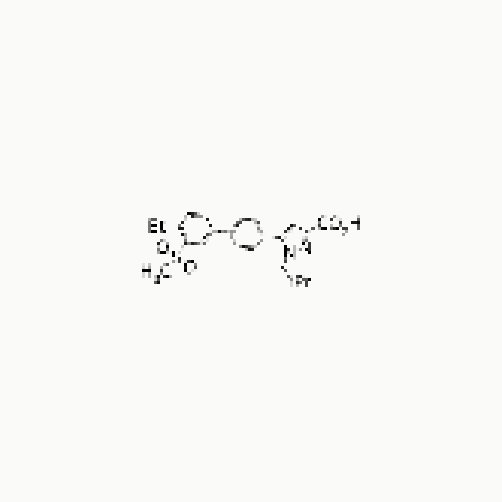 CCc1ccc(-c2ccc(-c3cc(C(=O)O)nn3CC(C)C)cc2)cc1S(C)(=O)=O